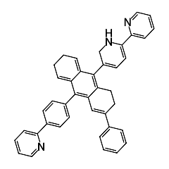 C1=C(c2ccccc2)CCc2c1c(-c1ccc(-c3ccccn3)cc1)c1c(c2C2=CC=C(c3ccccn3)NC2)=CCCC=1